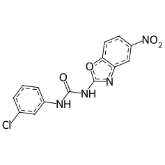 O=C(Nc1cccc(Cl)c1)Nc1nc2cc([N+](=O)[O-])ccc2o1